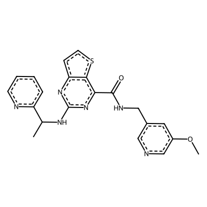 COc1cncc(CNC(=O)c2nc(NC(C)c3ccccn3)nc3ccsc23)c1